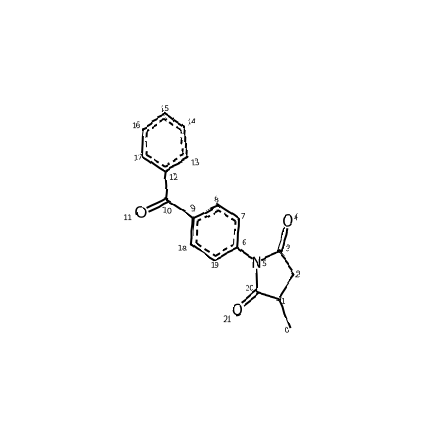 CC1CC(=O)N(c2ccc(C(=O)c3ccccc3)cc2)C1=O